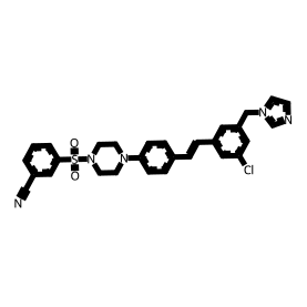 N#Cc1cccc(S(=O)(=O)N2CCN(c3ccc(/C=C/c4cc(Cl)cc(Cn5ccnc5)c4)cc3)CC2)c1